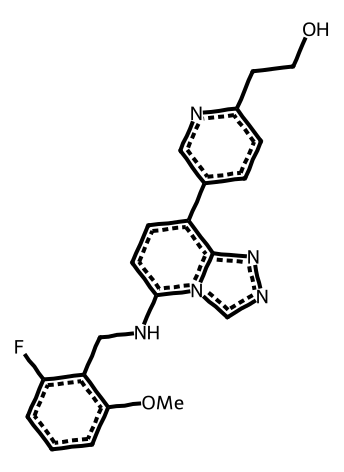 COc1cccc(F)c1CNc1ccc(-c2ccc(CCO)nc2)c2nncn12